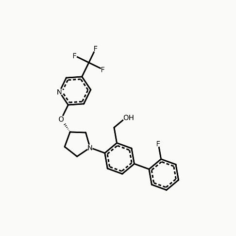 OCc1cc(-c2ccccc2F)ccc1N1CC[C@H](Oc2ccc(C(F)(F)F)cn2)C1